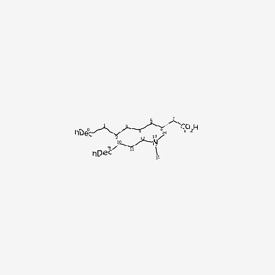 CCCCCCCCCCCCCCCCCC(=O)O.CCCCCCCCCCCCCN(C)C